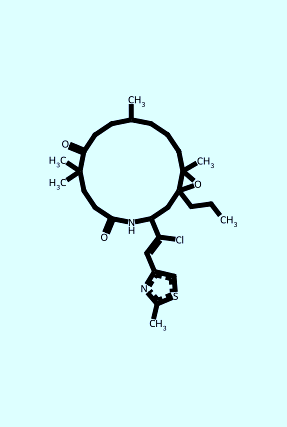 CCCC12CC(C(Cl)=Cc3csc(C)n3)NC(=O)CCC(C)(C)C(=O)CCC(C)CCCC1(C)O2